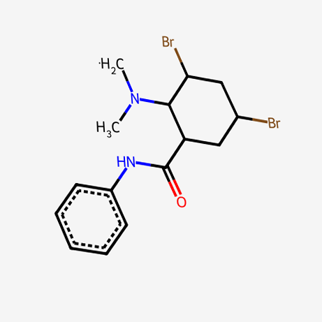 [CH2]N(C)C1C(Br)CC(Br)CC1C(=O)Nc1ccccc1